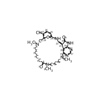 CN1CCCCC(=O)N(C)CCCN(C)c2ncnc3c2/C(=C/Nc2ccc(Cl)c(c2)C1)C(=O)N3